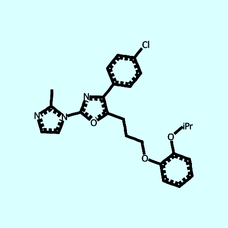 Cc1nccn1-c1nc(-c2ccc(Cl)cc2)c(CCCOc2ccccc2OC(C)C)o1